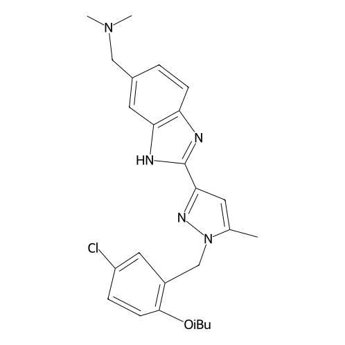 Cc1cc(-c2nc3ccc(CN(C)C)cc3[nH]2)nn1Cc1cc(Cl)ccc1OCC(C)C